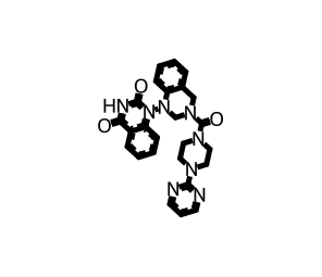 O=C(N1CCN(c2ncccn2)CC1)N1Cc2ccccc2N(n2c(=O)[nH]c(=O)c3ccccc32)C1